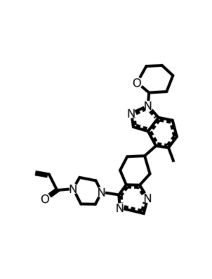 C=CC(=O)N1CCN(c2ncnc3c2CCC(c2c(C)ccc4c2cnn4C2CCCCO2)C3)CC1